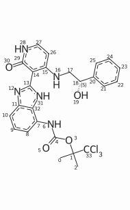 CC(C)(OC(=O)Nc1cccc2nc(-c3c(NC[C@@H](O)c4ccccc4)cc[nH]c3=O)[nH]c12)C(Cl)(Cl)Cl